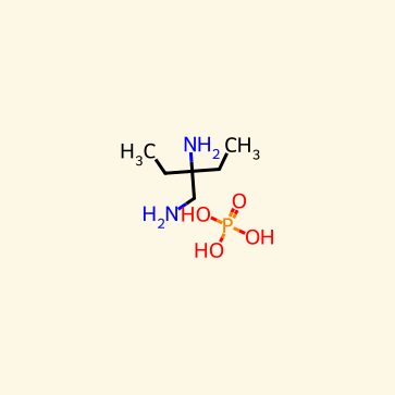 CCC(N)(CC)CN.O=P(O)(O)O